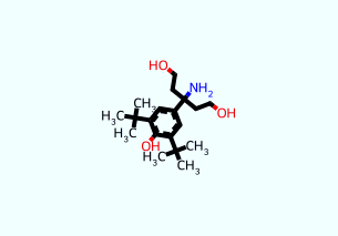 CC(C)(C)c1cc(C(N)(CCO)CCO)cc(C(C)(C)C)c1O